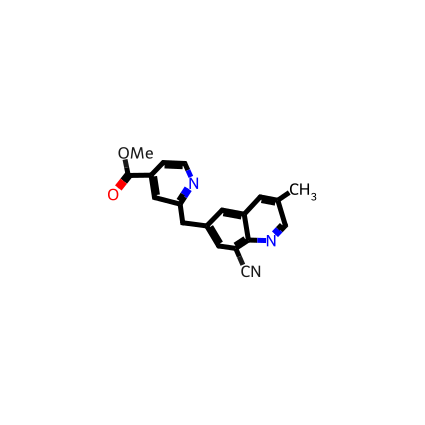 COC(=O)c1ccnc(Cc2cc(C#N)c3ncc(C)cc3c2)c1